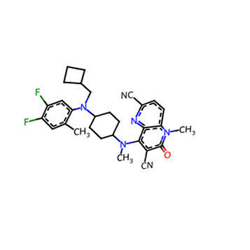 Cc1cc(F)c(F)cc1N(CC1CCC1)C1CCC(N(C)c2c(C#N)c(=O)n(C)c3ccc(C#N)nc23)CC1